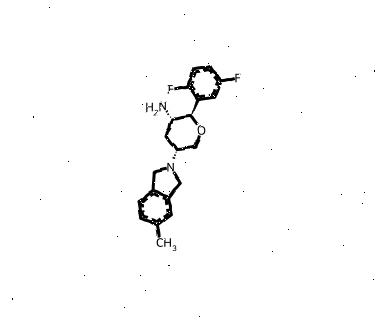 Cc1ccc2c(c1)CN([C@H]1CO[C@H](c3cc(F)ccc3F)[C@@H](N)C1)C2